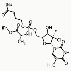 Cc1cn([C@@H]2O[C@H](CO[P@](=O)(N[C@H](C)C(=O)OC(C)C)OCCSC(=O)C(C)(C)C)[C@@H](O)[C@@]2(F)Cl)c(=O)[nH]c1=O